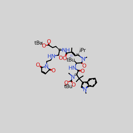 C/C(=C\[C@H](C(C)C)N(C)C(=O)C(NC(=O)[C@@H](N(C)C(=O)OC(C)(C)C)C(C)(C)c1cn(C)c2ccccc12)C(C)(C)C)C(=O)N[C@H](CCC(=O)OC(C)(C)C)C(=O)NCCN1C(=O)C=CC1=O